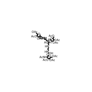 CC(=O)NC1C(OC(C)=O)[C@@H](OC(C)=O)C(COC(C)=O)O[C@H]1OC(O)NCCCNCCCN(CCCNOCC1(NC(C)=O)COC(COC(C)=O)[C@H](OC(C)=O)C1OC(C)=O)O[C@@H]1OC(COC(C)=O)[C@H](OC(C)=O)C(OC(C)=O)C1NC(C)=O